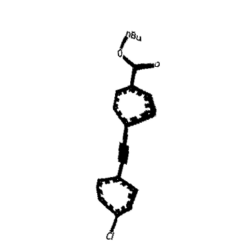 CCCCOC(=O)c1ccc(C#Cc2ccc(Cl)cc2)cc1